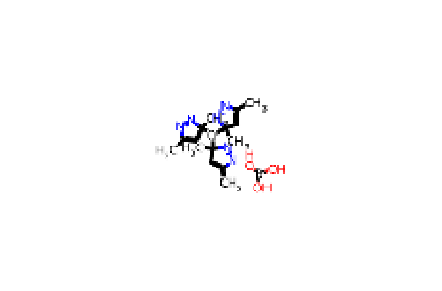 CC1=C[C](C)([Cr]([C]2(C)C=C(C)N=N2)[C]2(C)C=C(C)N=N2)N=N1.OB(O)O